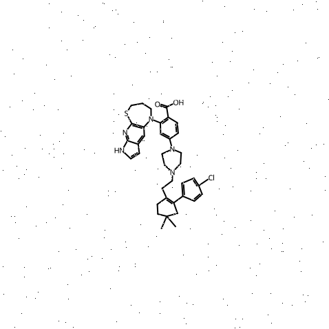 CC1(C)CCC(CCN2CCN(c3ccc(C(=O)O)c(N4CCCSc5nc6[nH]ccc6cc54)c3)CC2)=C(c2ccc(Cl)cc2)C1